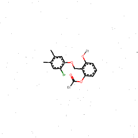 CCOc1cccc(OC(=O)CC)c1COc1cc(C)c(C)cc1Br